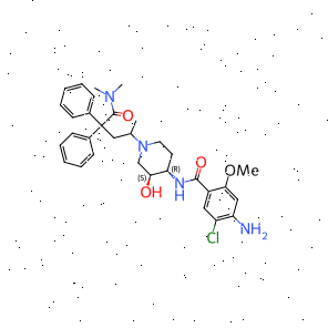 COc1cc(N)c(Cl)cc1C(=O)N[C@@H]1CCN(C(C)CC(C(=O)N(C)C)(c2ccccc2)c2ccccc2)C[C@@H]1O